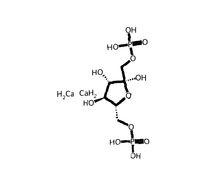 O=P(O)(O)OC[C@H]1O[C@](O)(COP(=O)(O)O)[C@@H](O)[C@@H]1O.[CaH2].[CaH2]